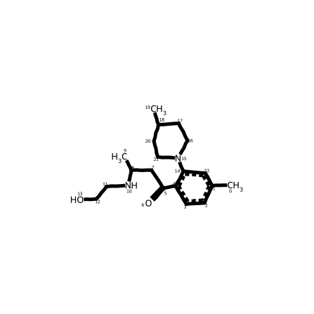 Cc1ccc(C(=O)CC(C)NCCO)c(N2CCC(C)CC2)c1